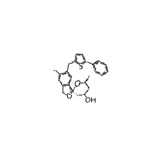 Cc1cc2c(cc1Cc1ccc(-c3ccccc3)s1)[C@]1(CC(O)CC(C)O1)OC2